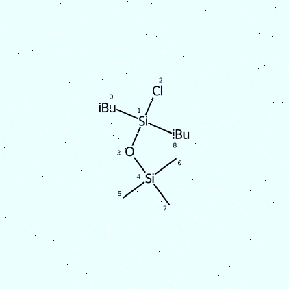 CCC(C)[Si](Cl)(O[Si](C)(C)C)C(C)CC